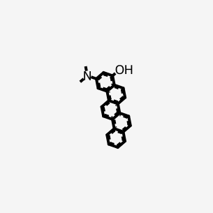 CN(C)c1cc(O)c2ccc3c(ccc4c5ccccc5ccc43)c2c1